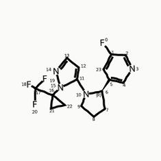 Fc1cncc([C@H]2CCCN2c2ccnn2C2(C(F)(F)F)CC2)c1